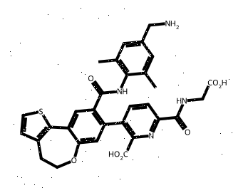 Cc1cc(CN)cc(C)c1NC(=O)c1cc2c(cc1-c1ccc(C(=O)NCC(=O)O)nc1C(=O)O)OCCc1ccsc1-2